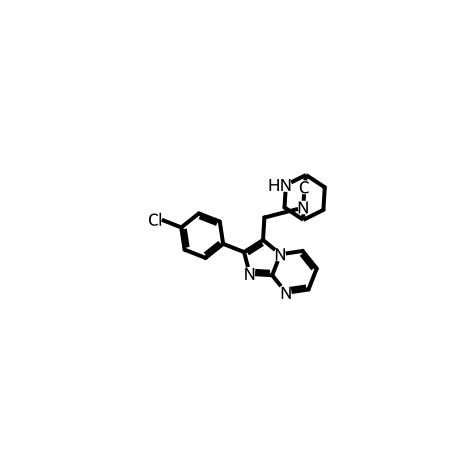 Clc1ccc(-c2nc3ncccn3c2CN2CC3CCC2CN3)cc1